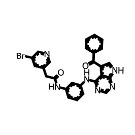 O=C(Cc1cncc(Br)c1)Nc1cccc(Nc2ncnc3[nH]cc(C(=O)c4ccccc4)c23)c1